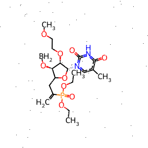 BO[C@@H]1C(CC(=C)P(=O)(OCC)OCC)O[C@@H](n2cc(C)c(=O)[nH]c2=O)[C@@H]1OCCOC